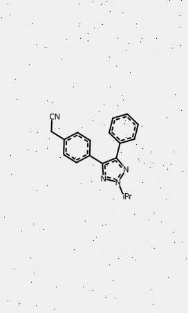 CC(C)n1nc(-c2ccccc2)c(-c2ccc(CC#N)cc2)n1